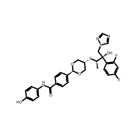 C[C@@H](S[C@H]1CO[C@H](c2ccc(C(=O)Nc3ccc(O)cc3)cc2)OC1)[C@](O)(Cn1cncn1)c1ccc(F)cc1F